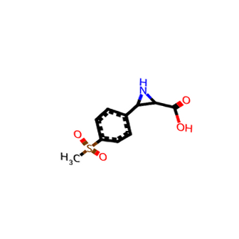 CS(=O)(=O)c1ccc(C2NC2C(=O)O)cc1